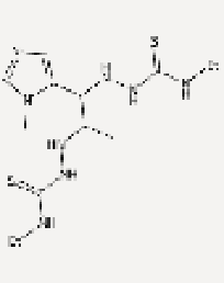 CCNC(=S)NNC(C)C(NNC(=S)NCC)c1cncn1C